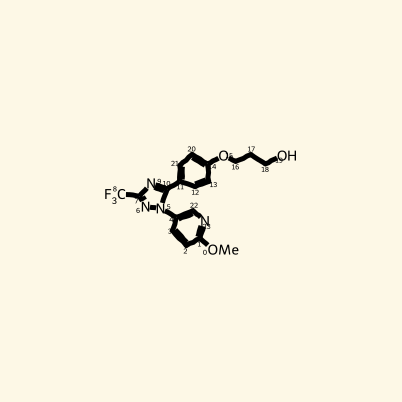 COc1ccc(-n2nc(C(F)(F)F)nc2-c2ccc(OCCCO)cc2)cn1